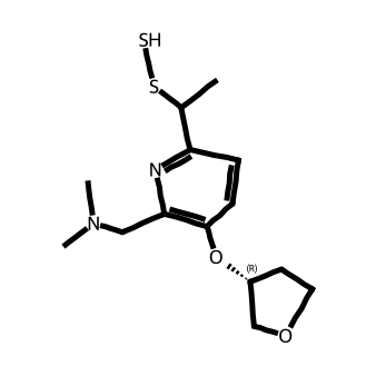 CC(SS)c1ccc(O[C@@H]2CCOC2)c(CN(C)C)n1